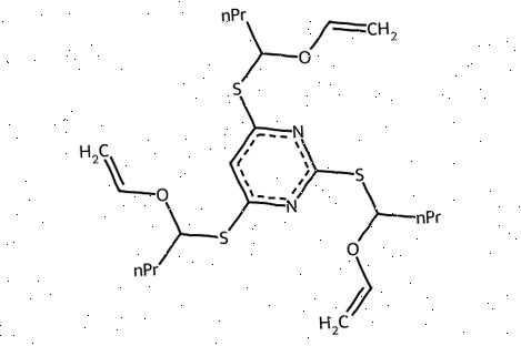 C=COC(CCC)Sc1cc(SC(CCC)OC=C)nc(SC(CCC)OC=C)n1